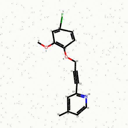 COc1cc(F)ccc1OCC#Cc1cc(C)ccn1